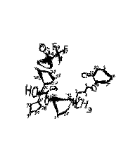 C[N+]1(CCCOc2ccccc2Cl)CCC(OC(=O)C(O)(c2ccccc2)C2CCCC2)C1.O=C([O-])C(F)(F)F